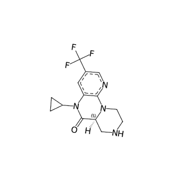 O=C1[C@@H]2CNCCN2c2ncc(C(F)(F)F)cc2N1C1CC1